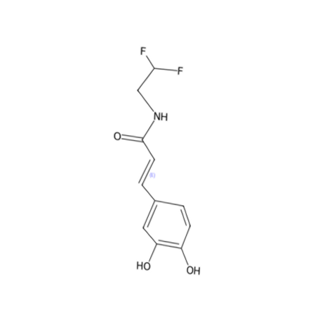 O=C(/C=C/c1ccc(O)c(O)c1)NCC(F)F